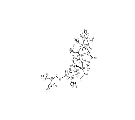 [3H]C1C([3H])([3H])C([3H])(O)CC2=CC[C@H]3[C@@H]4CC[C@H]([C@H](C)CCCC(C)C)[C@@]4(C)CC[C@@H]3[C@]21C